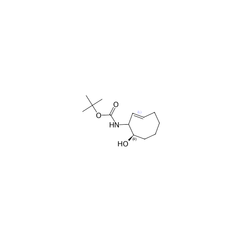 CC(C)(C)OC(=O)NC1/C=C/CCCC[C@H]1O